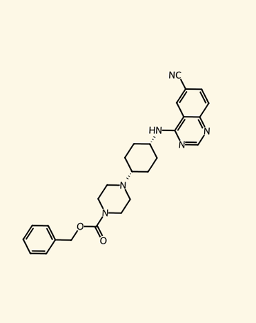 N#Cc1ccc2ncnc(N[C@H]3CC[C@@H](N4CCN(C(=O)OCc5ccccc5)CC4)CC3)c2c1